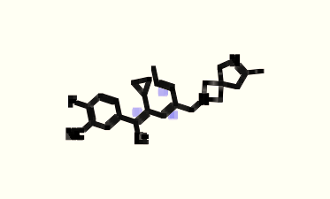 C/C=C/C(=C\C(=C(/CC)c1ccc(F)c(C#N)c1)C1CC1)CN1CC2(CN=C(C)C2)C1